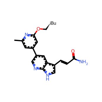 CC[C@H](C)COc1cc(-c2cnc3[nH]cc(/C=C/C(N)=O)c3c2)cc(C)n1